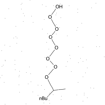 CCCCC(C)OOOOOOOO